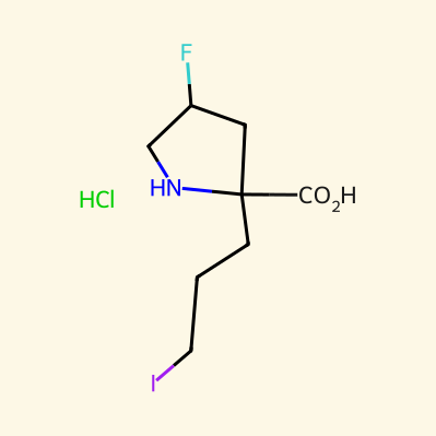 Cl.O=C(O)C1(CCCI)CC(F)CN1